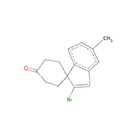 Cc1ccc2c(c1)C=C(Br)C21CCC(=O)CC1